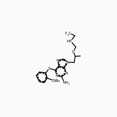 CC(C)COc1ccccc1Sc1nc(N)nc2c1ncn2CC(C)OCPCC(F)(F)F